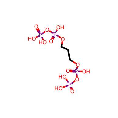 O=P(O)(O)OP(=O)(O)OCCCOP(=O)(O)OP(=O)(O)O